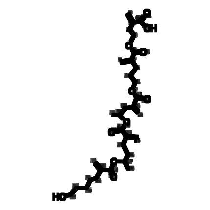 C=C(CCOC(=O)C(=C)CCCOC(=O)C(=C)CC(C)OC(=O)C(=C)CCC(C)OC(=O)C(=C)CCCCCO)C(=O)O